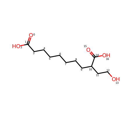 O=C(O)CCCCCCCC(CCO)C(=O)O